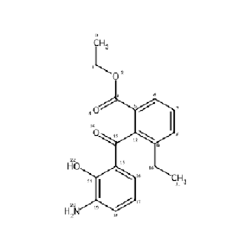 CCOC(=O)c1cccc(CC)c1C(=O)c1cccc(N)c1O